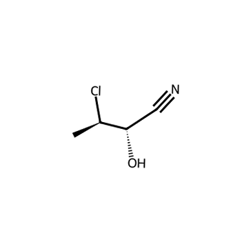 C[C@@H](Cl)[C@@H](O)C#N